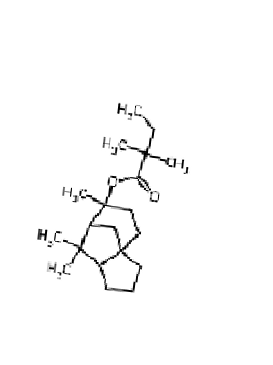 CCC(C)(C)C(=O)OC1(C)CCC23CCCC2C(C)(C)C1C3